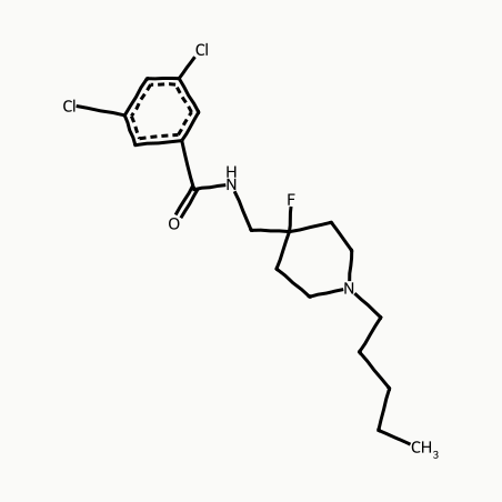 CCCCCN1CCC(F)(CNC(=O)c2cc(Cl)cc(Cl)c2)CC1